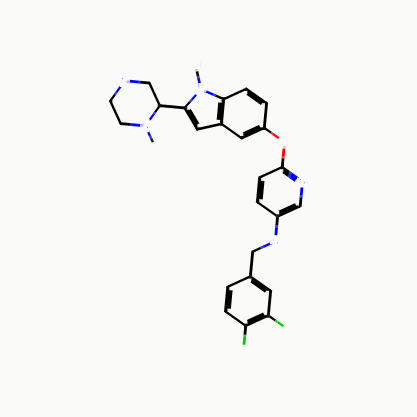 Cn1c(C2CNCCN2C=O)cc2cc(Oc3ccc(NCc4ccc(Cl)c(Cl)c4)cn3)ccc21